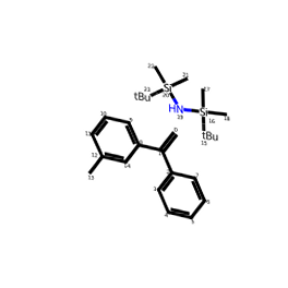 C=C(c1ccccc1)c1cccc(C)c1.CC(C)(C)[Si](C)(C)N[Si](C)(C)C(C)(C)C